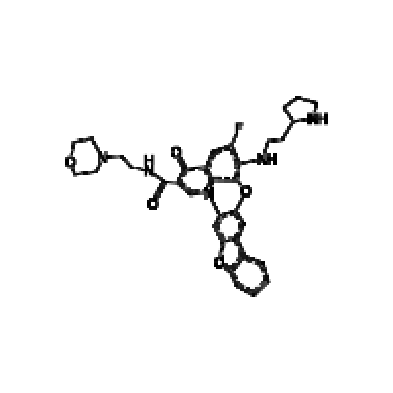 O=C(NCCN1CCOCC1)c1cn2c3c(c(NCCC4CCCN4)c(F)cc3c1=O)Oc1cc3c(cc1-2)oc1ccccc13